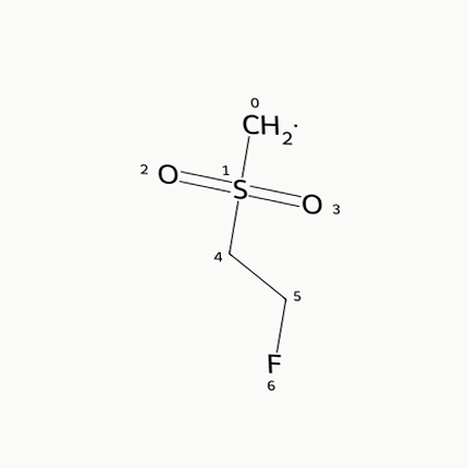 [CH2]S(=O)(=O)CCF